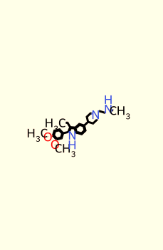 CCc1c(-c2ccc(OC)c(OC)c2)[nH]c2ccc(C3CCN(CCNC)CC3)cc12